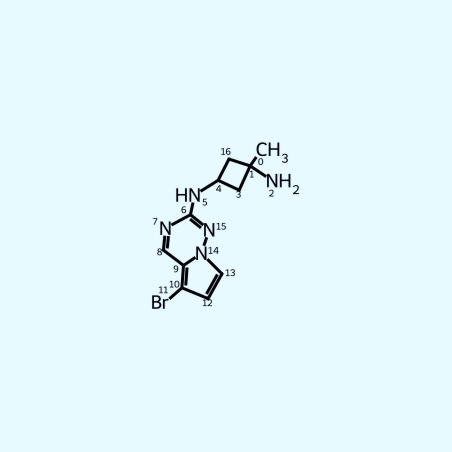 CC1(N)CC(Nc2ncc3c(Br)ccn3n2)C1